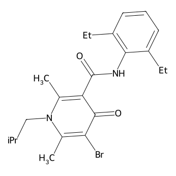 CCc1cccc(CC)c1NC(=O)c1c(C)n(CC(C)C)c(C)c(Br)c1=O